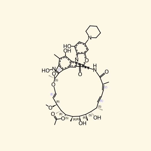 CO[C@H]1/C=C/O[C@@]2(C)Oc3c(C)c(O)c4c(=O)c(c5oc6cc(N7CCCCC7)cc(O)c6nc-5c4c3/C2=N/O)NC(=O)/C(C)=C\C=C\[C@H](C)[C@H](O)[C@@H](C)[C@@H](O)[C@@H](C)[C@H](OC(C)=O)[C@@H]1C